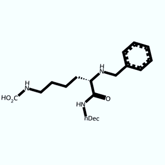 CCCCCCCCCCNC(=O)[C@H](CCCCNC(=O)O)NCc1ccccc1